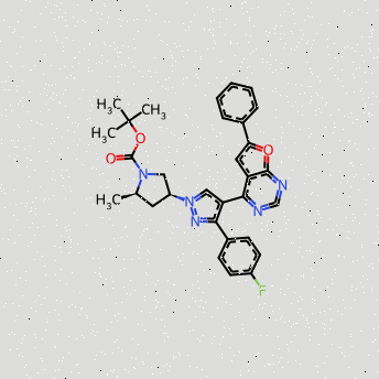 C[C@@H]1C[C@H](n2cc(-c3ncnc4oc(-c5ccccc5)cc34)c(-c3ccc(F)cc3)n2)CN1C(=O)OC(C)(C)C